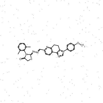 Cc1cccc(C)c1N1C(=O)CS/C1=N\N=C\c1ccc2c(n1)CCc1c-2ncn1-c1ccc(OC(F)(F)F)cc1